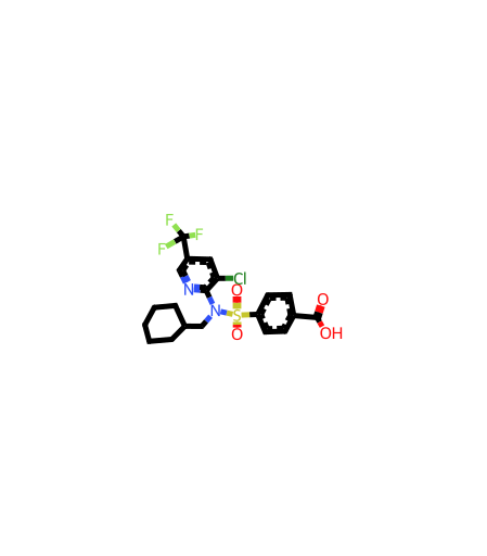 O=C(O)c1ccc(S(=O)(=O)N(CC2CCCCC2)c2ncc(C(F)(F)F)cc2Cl)cc1